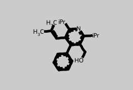 CC(C)=Cc1c(C(C)C)nc(C(C)C)c(CO)c1-c1ccccc1